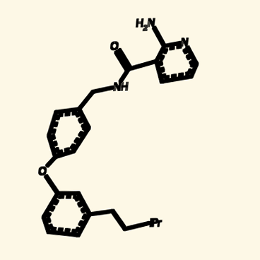 CC(C)CCc1cccc(Oc2ccc(CNC(=O)c3cccnc3N)cc2)c1